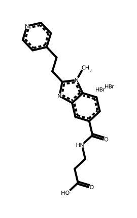 Br.Br.Cn1c(CCc2ccncc2)nc2cc(C(=O)NCCC(=O)O)ccc21